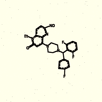 CCn1c(=O)cc(N2CCN(C(c3ccc(F)cc3)c3c(F)cccc3F)CC2)c2nc(N=O)ccc21